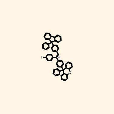 Fc1ccc(/C(=C\c2ccc(C3(c4ccccc4)c4ccccc4-c4ccccc43)cc2)c2ccc(C3(c4ccccc4)c4ccccc4Oc4ccccc43)cc2)cc1